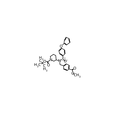 COC(=O)c1ccc(CN(C2CCCN(C(=O)OC(C)(C)C)C2)[S+]([O-])c2ccc(Oc3ccccc3)cc2)cc1